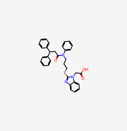 O=C(O)Cn1c(SCCCN(C(=O)CC(c2ccccc2)c2ccccc2)c2ccccc2)nc2ccccc21